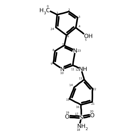 Cc1ccc(O)c(-c2ccnc(Nc3ccc(S(N)(=O)=O)cc3)n2)c1